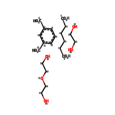 O=C(O)CCCCC(=O)O.O=C(O)c1cccc(C(=O)O)c1.OCCO.OCCOCCO